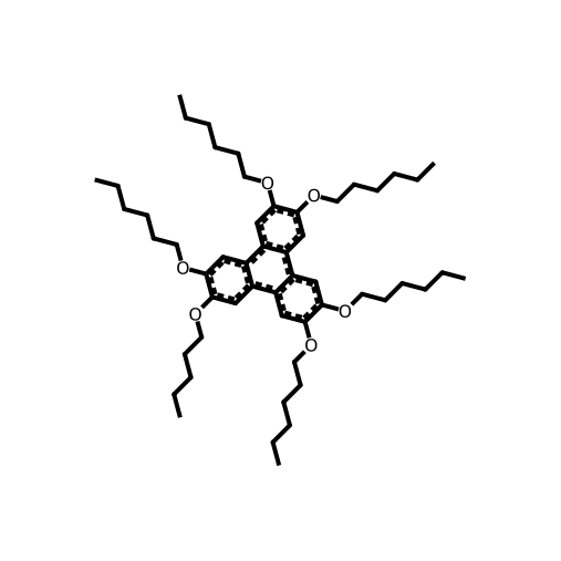 CCCCCCOc1cc2c(cc1OCCCCC)c1cc(OCCCCCC)c(OCCCCCC)cc1c1cc(OCCCCCC)c(OCCCCCC)cc21